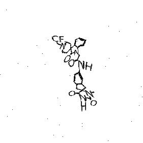 CN1C(=O)NC(=O)C12Cc1ccc(NC(=O)CN3C(=O)C4(CCN(CC(F)(F)F)CC4)c4ccccc43)cc1C2